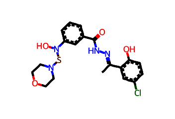 C/C(=N\NC(=O)c1cccc(N(O)SN2CCOCC2)c1)c1cc(Cl)ccc1O